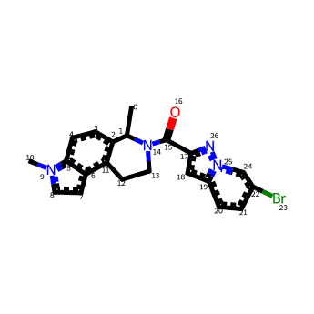 CC1c2ccc3c(ccn3C)c2CCN1C(=O)c1cc2ccc(Br)cn2n1